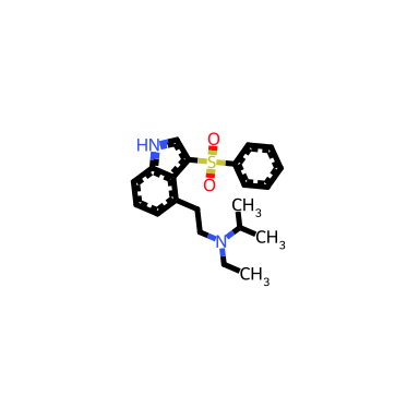 CCN(CCc1cccc2[nH]cc(S(=O)(=O)c3ccccc3)c12)C(C)C